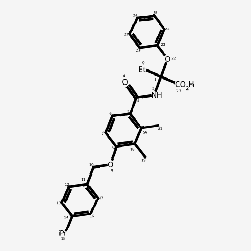 CCC(NC(=O)c1ccc(OCc2ccc(C(C)C)cc2)c(C)c1C)(Oc1ccccc1)C(=O)O